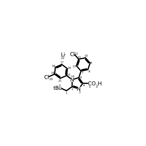 CC(C)(C)Cc1nc(C(=O)O)c(-c2cccc(Cl)c2)n1-c1cccc(Cl)c1.[Li]